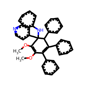 COC1=C(OC)C(Nc2ccccc2)(c2ccncc2)C(c2ccccc2)C(c2ccccc2)=C1c1ccccc1